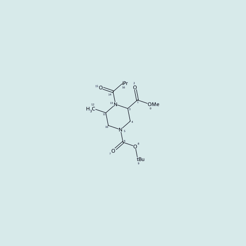 COC(=O)C1CN(C(=O)OC(C)(C)C)CC(C)N1C(=O)C(C)C